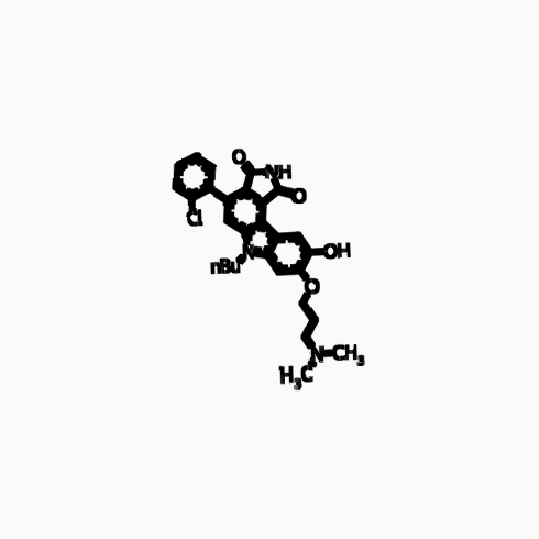 CCCCn1c2cc(OCCCN(C)C)c(O)cc2c2c3c(c(-c4ccccc4Cl)cc21)C(=O)NC3=O